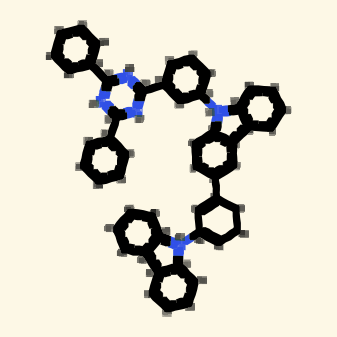 C1=C(c2ccc3c(c2)c2ccccc2n3-c2cccc(-c3nc(-c4ccccc4)nc(-c4ccccc4)n3)c2)CCC=C1n1c2ccccc2c2ccccc21